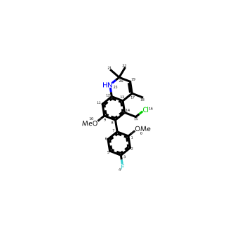 COc1cc(F)ccc1-c1c(OC)cc2c(c1CCl)C(C)=CC(C)(C)N2